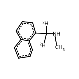 [2H]C([2H])(NC)c1cccc2ccccc12